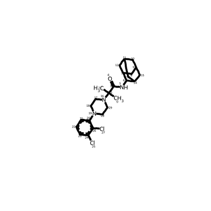 CC(C)(C(=O)NC1C2CC3CC(C2)CC1C3)N1CCN(c2cccc(Cl)c2Cl)CC1